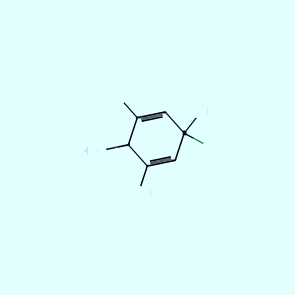 CC1=CC(C)(Cl)C=C(C)C1[C]=O